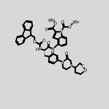 CC(C)(C)OC(=O)c1cc2c(NC(=O)[C@H](Cc3ccc(N4CCN(C5CCOCC5)CC4=O)cc3)NC(=O)OCC3c4ccccc4-c4ccccc43)cccc2n1C(=O)OC(C)(C)C